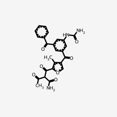 CC(=O)C(C(N)=O)C(=O)c1occ(C(=O)c2cc(NC(N)=O)cc(C(=O)c3ccccc3)c2)c1C